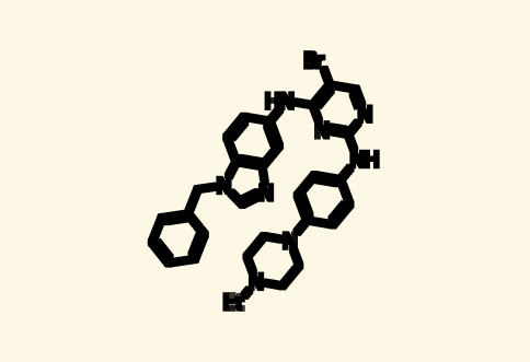 CCN1CCN(c2ccc(Nc3ncc(Br)c(Nc4ccc5c(c4)ncn5Cc4ccccc4)n3)cc2)CC1